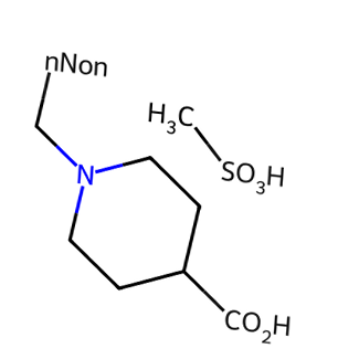 CCCCCCCCCCN1CCC(C(=O)O)CC1.CS(=O)(=O)O